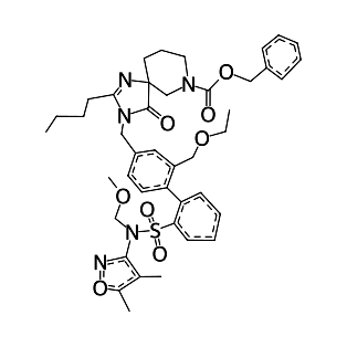 CCCCC1=NC2(CCCN(C(=O)OCc3ccccc3)C2)C(=O)N1Cc1ccc(-c2ccccc2S(=O)(=O)N(COC)c2noc(C)c2C)c(COCC)c1